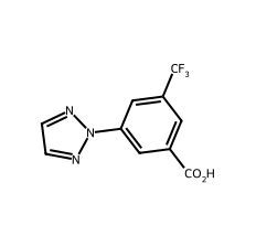 O=C(O)c1cc(-n2nccn2)cc(C(F)(F)F)c1